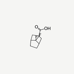 O=C(O)C1CC2CCC(C1)C2(F)F